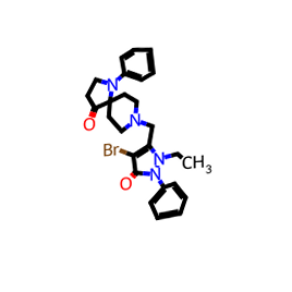 CCn1c(CN2CCC3(CC2)C(=O)CCN3c2ccccc2)c(Br)c(=O)n1-c1ccccc1